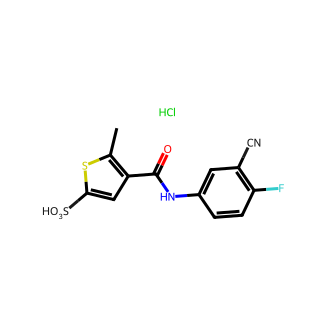 Cc1sc(S(=O)(=O)O)cc1C(=O)Nc1ccc(F)c(C#N)c1.Cl